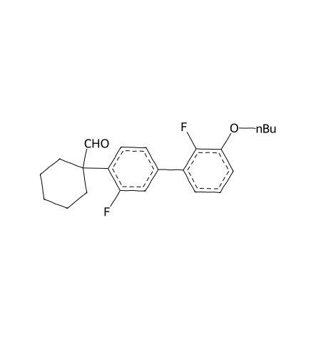 CCCCOc1cccc(-c2ccc(C3(C=O)CCCCC3)c(F)c2)c1F